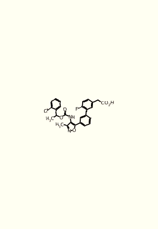 Cc1noc(-c2cccc(-c3cc(CC(=O)O)ccc3F)c2)c1NC(=O)OC(C)c1ccccc1Cl